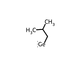 CC(C)[CH2][Ge]